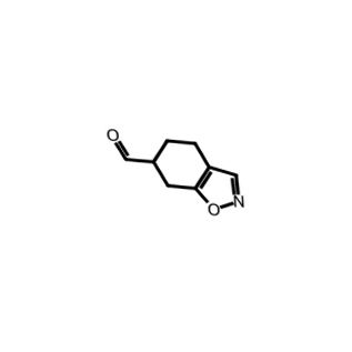 O=CC1CCc2cnoc2C1